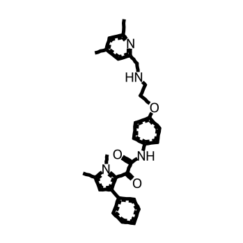 Cc1cc(C)nc(CNCCOc2ccc(NC(=O)C(=O)c3c(-c4ccccc4)cc(C)n3C)cc2)c1